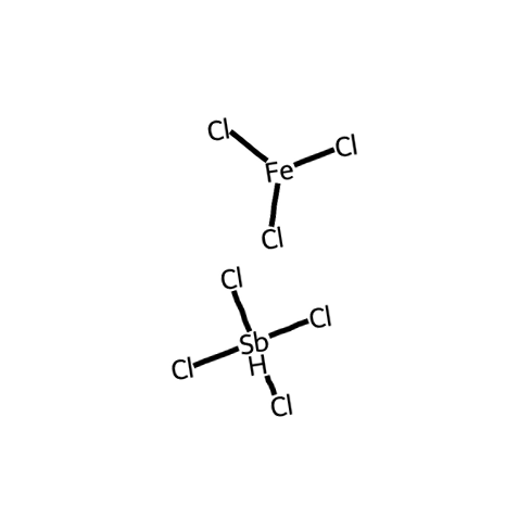 [Cl][Fe]([Cl])[Cl].[Cl][SbH]([Cl])([Cl])[Cl]